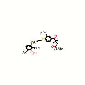 CCCc1cc(C(=O)C(C)(C)CC(=O)OC)ccc1SCCCOc1ccc(C(C)=O)c(O)c1CCC